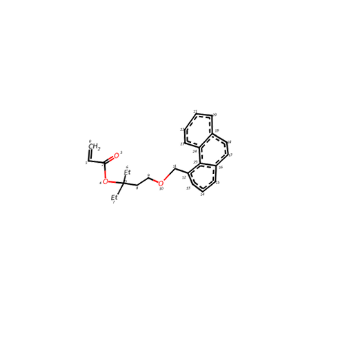 C=CC(=O)OC(CC)(CC)CCOCc1cccc2ccc3ccccc3c12